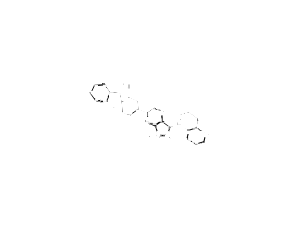 Cl.N[C@H]1c2ccccc2C[C@]12CC=C(c1cnc3c(N4CCCc5ncccc54)n[nH]c3n1)CC2